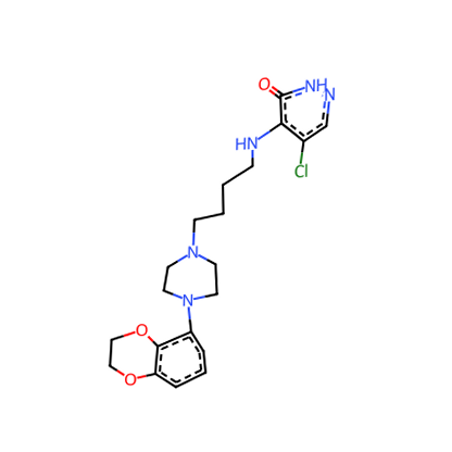 O=c1[nH]ncc(Cl)c1NCCCCN1CCN(c2cccc3c2OCCO3)CC1